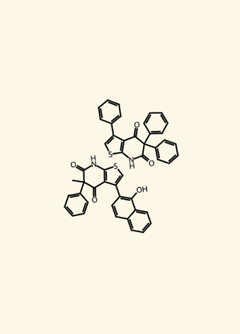 CC1(c2ccccc2)C(=O)Nc2scc(-c3ccc4ccccc4c3O)c2C1=O.O=C1Nc2scc(-c3ccccc3)c2C(=O)C1(c1ccccc1)c1ccccc1